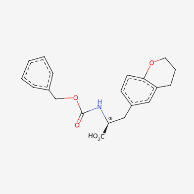 O=C(N[C@@H](Cc1ccc2c(c1)CCCO2)C(=O)O)OCc1ccccc1